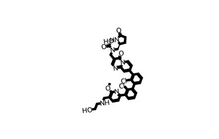 COc1nc(-c2cccc(-c3cccc(-c4ccn5c(=O)c(CN(C[C@@H]6CCC(=O)N6)C(=O)O)cnc5c4)c3Cl)c2Cl)ccc1CNCCO